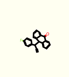 C#CC(c1ccc(F)cc1)C1c2ccccc2C(=O)c2ccccc21